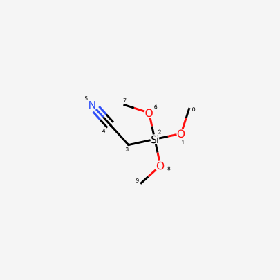 CO[Si](CC#N)(OC)OC